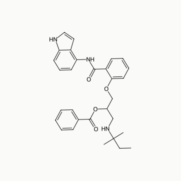 CCC(C)(C)NCC(COc1ccccc1C(=O)Nc1cccc2[nH]ccc12)OC(=O)c1ccccc1